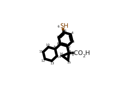 O=C(O)C1(c2ccc(S)cc2C2CCCCC2)CC1